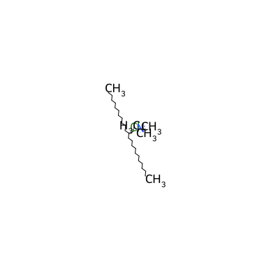 CCCCCCCCCCCCC(CCl)CCCCCCCCCCCC.CN(C)C